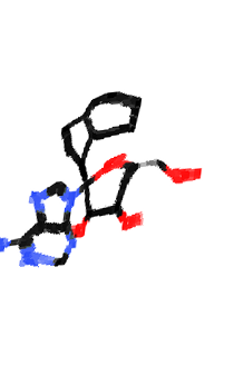 Nc1ncnc2c1ncn2[C@]1(C2CCc3ccccc32)O[C@H](CO)[C@@H](O)[C@H]1O